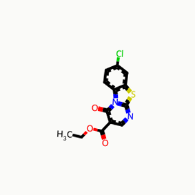 CCOC(=O)c1cnc2sc3cc(Cl)ccc3n2c1=O